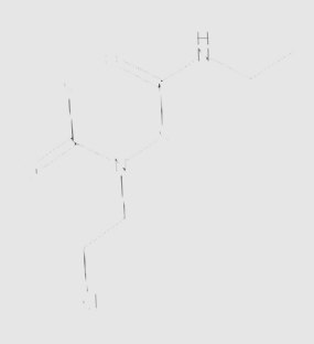 CCNC(=O)SN(CCCl)C(=O)[S]